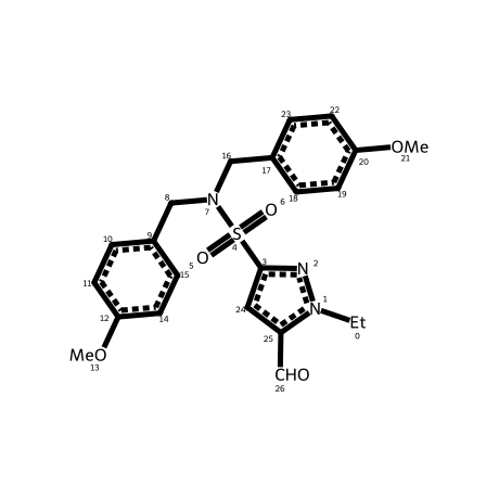 CCn1nc(S(=O)(=O)N(Cc2ccc(OC)cc2)Cc2ccc(OC)cc2)cc1C=O